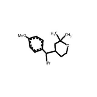 COc1ccc(C(C(C)C)C2CCOC(C)(C)C2)cc1